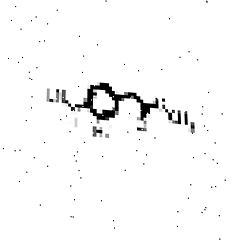 COC(=O)Cc1ccc(NN)cc1.Cl